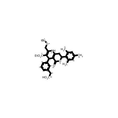 CCOC(=O)C1=C(COC(C)(C)C)NC2=C(C(=O)OC(c3c(C)cc(C)cc3C)C2)C1c1cccc(CC(=O)O)c1